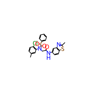 Cc1ccc(Cl)c(N(CC(=O)Nc2ccc3sc(C)nc3c2)S(=O)(=O)c2ccccc2)c1